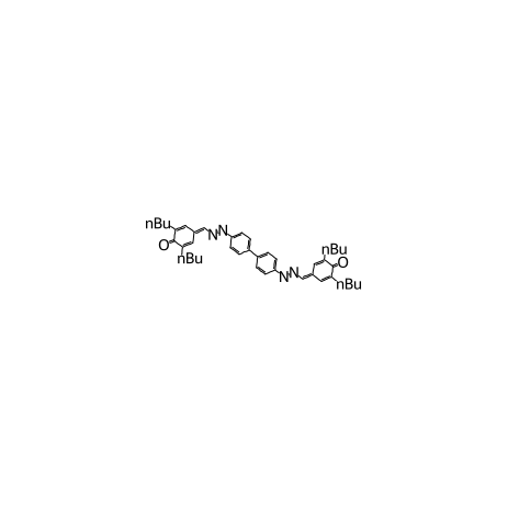 CCCCC1=CC(=C/N=N/c2ccc(-c3ccc(/N=N/C=C4C=C(CCCC)C(=O)C(CCCC)=C4)cc3)cc2)C=C(CCCC)C1=O